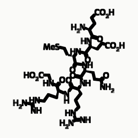 CSCC[C@H](NC(=O)[C@H](CCC(=O)O)NC(=O)[C@@H](N)CCC(=O)O)C(=O)N[C@@H](CCC(N)=O)C(=O)N[C@@H](CCCNC(=N)N)C(=O)N[C@@H](CCCNC(=N)N)C(=O)NCC(=O)O